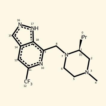 CC(C)[C@H]1CN(C)CCN1Cc1nc(C(F)(F)F)cc2cn[nH]c12